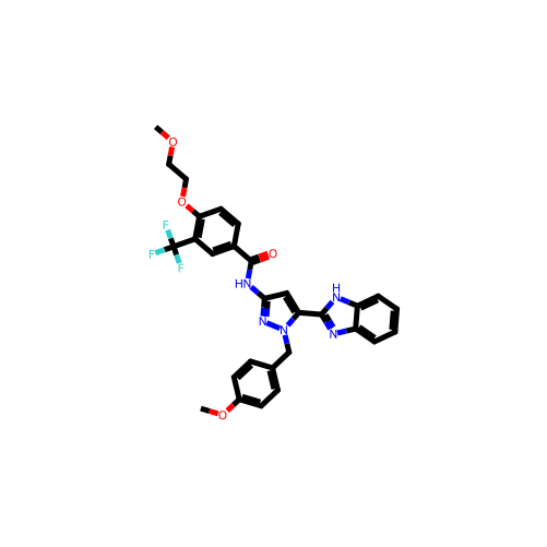 COCCOc1ccc(C(=O)Nc2cc(-c3nc4ccccc4[nH]3)n(Cc3ccc(OC)cc3)n2)cc1C(F)(F)F